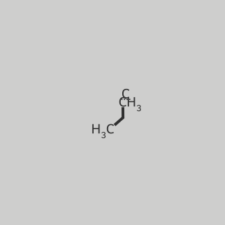 CCC.[C]